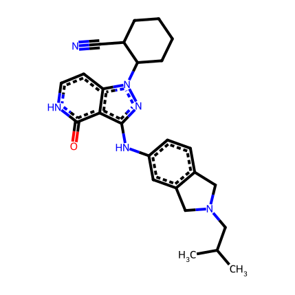 CC(C)CN1Cc2ccc(Nc3nn(C4CCCCC4C#N)c4cc[nH]c(=O)c34)cc2C1